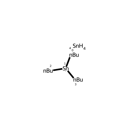 CCC[CH2][Sn]([CH2]CCC)[CH2]CCC.[SnH4]